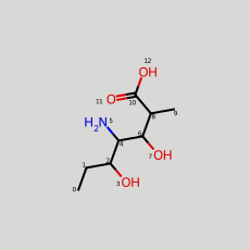 CCC(O)C(N)C(O)C(C)C(=O)O